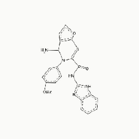 COc1ccc(N2C(C(=O)Nc3nc4ccccc4[nH]3)=Nc3occc3C2N)cc1